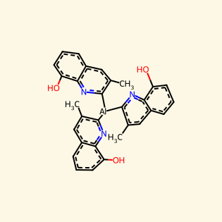 Cc1cc2cccc(O)c2n[c]1[Al]([c]1nc2c(O)cccc2cc1C)[c]1nc2c(O)cccc2cc1C